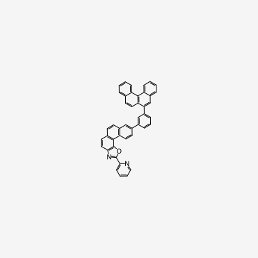 c1ccc(-c2nc3ccc4ccc5cc(-c6cccc(-c7cc8ccccc8c8c7ccc7ccccc78)c6)ccc5c4c3o2)nc1